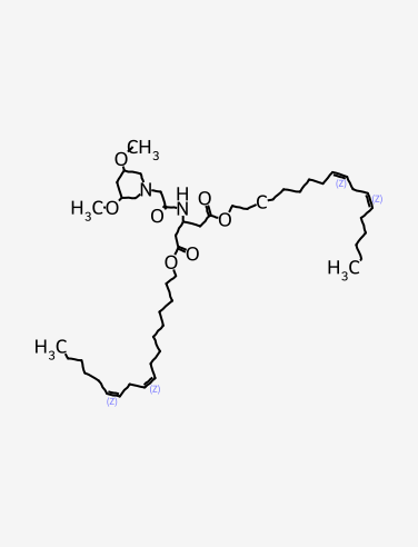 CCCCC/C=C\C/C=C\CCCCCCCCOC(=O)CC(CC(=O)OCCCCCCCC/C=C\C/C=C\CCCCC)NC(=O)CN1CC(OC)CC(OC)C1